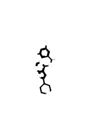 C[C@@H](Nc1ncnc2c1cc(C1CCNCC1)n2C)c1cc(N)cc(C(F)(F)F)c1